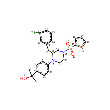 CC(C)(O)c1ccc(N2CCN(S(=O)(=O)c3cccs3)CC2Cc2cccc(F)c2)cc1